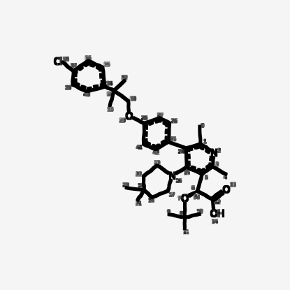 Cc1nc(C)c([C@H](OC(C)(C)C)C(=O)O)c(N2CCC(C)(C)CC2)c1-c1ccc(OCC(C)(C)c2ccc(Cl)cc2)cc1